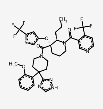 CCC[C@H]1N(C(=O)c2cnccc2C(F)(F)F)CCC[C@@]1(Oc1csc(C(F)(F)F)c1)C(=O)N1CCC(c2nc[nH]n2)(c2ccccc2OC)CC1